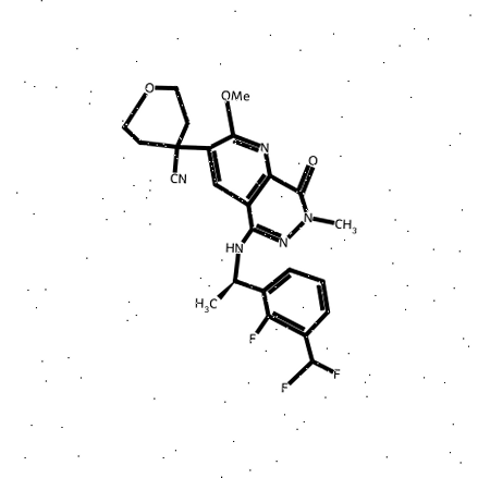 COc1nc2c(=O)n(C)nc(N[C@H](C)c3cccc(C(F)F)c3F)c2cc1C1(C#N)CCOCC1